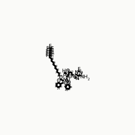 C#C[C@]1(CO[P@@](=O)(N[C@@H](Cc2ccccc2)C(=O)OCCCCCCCCCCCC(F)(F)C(F)(F)C(F)(F)C(F)(F)F)Oc2ccccc2)O[C@@H](n2cnc3c(N)nc(F)nc32)C[C@@H]1O